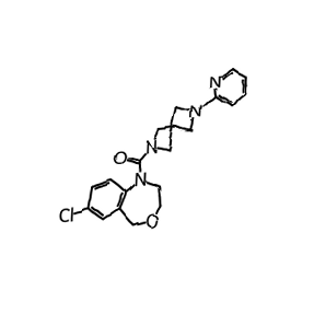 O=C(N1CC2(C1)CN(c1ccccn1)C2)N1CCOCc2cc(Cl)ccc21